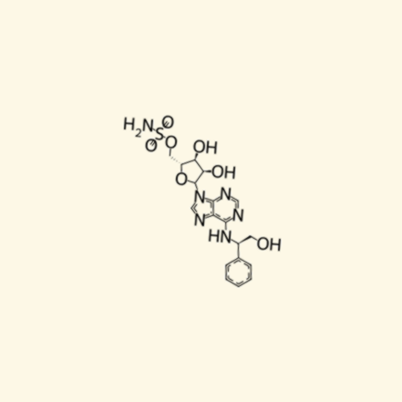 NS(=O)(=O)OC[C@H]1OC(n2cnc3c(N[C@@H](CO)c4ccccc4)ncnc32)[C@H](O)[C@@H]1O